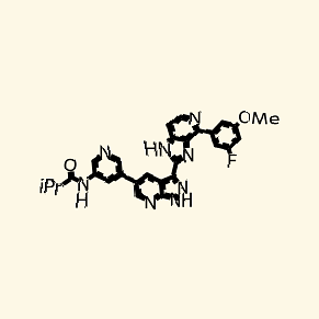 COc1cc(F)cc(-c2nccc3[nH]c(-c4n[nH]c5ncc(-c6cncc(NC(=O)C(C)C)c6)cc45)nc23)c1